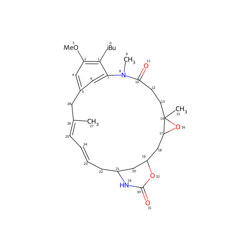 CCC(C)c1c(OC)cc2cc1N(C)C(=O)CCC1(C)OC1CC1CC(C/C=C/C=C(\C)C2)NC(=O)O1